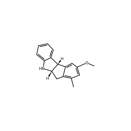 COc1cc(C)c2c(c1)[C@H]1c3ccccc3N[C@H]1C2